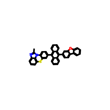 Cc1nc2cccc3c2n1-c1ccc(-c2c4ccccc4c(-c4ccc5c(c4)oc4ccccc45)c4ccccc24)cc1S3